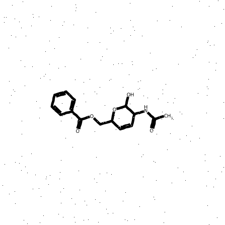 CC(=O)NC1C=CC(COC(=O)c2ccccc2)OC1O